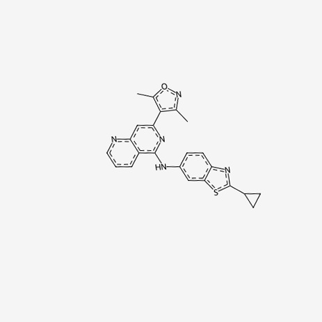 Cc1noc(C)c1-c1cc2ncccc2c(Nc2ccc3nc(C4CC4)sc3c2)n1